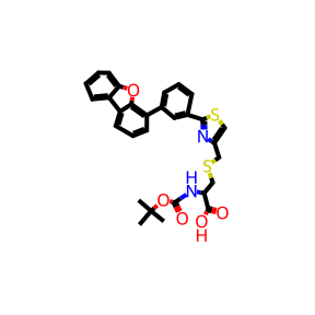 CC(C)(C)OC(=O)NC(CSCc1csc(-c2cccc(-c3cccc4c3oc3ccccc34)c2)n1)C(=O)O